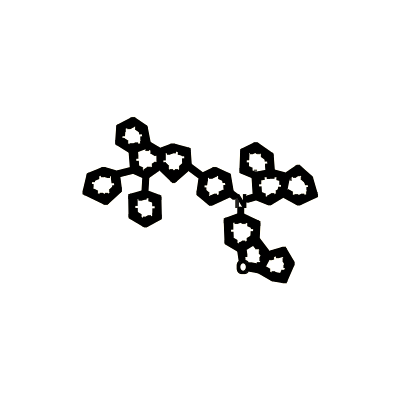 c1ccc(-c2c(-c3ccccc3)c3cc(-c4ccc(N(c5ccc6oc7ccccc7c6c5)c5cc6ccccc6c6ccccc56)cc4)ccc3c3ccccc23)cc1